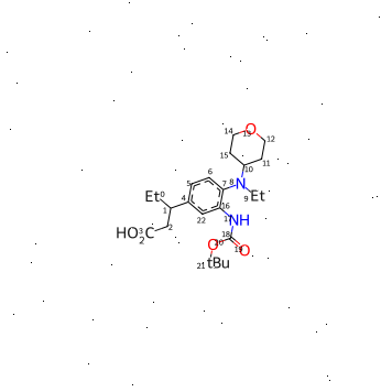 CCC(CC(=O)O)c1ccc(N(CC)C2CCOCC2)c(NC(=O)OC(C)(C)C)c1